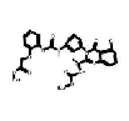 C[C@H](NC(=O)OC(C)(C)C)c1nc2cccc(Cl)c2c(=O)n1-c1cccc(NC(=O)Nc2ccccc2OCC(=O)OC(C)(C)C)c1